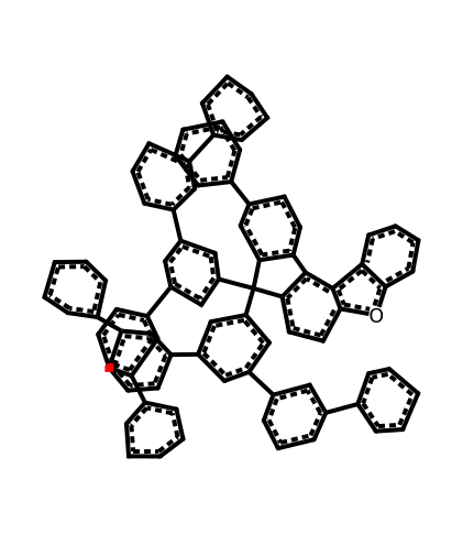 c1ccc(-c2cccc(-c3cc(-c4cccc(-c5ccccc5)c4)cc(C4(c5cc(-c6cccc(-c7ccccc7)c6)cc(-c6cccc(-c7ccccc7)c6)c5)c5cc(-c6ccccc6)ccc5-c5c4ccc4oc6ccccc6c54)c3)c2)cc1